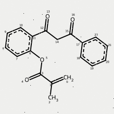 C=C(C)C(=O)Oc1ccccc1C(=O)CC(=O)c1ccccc1